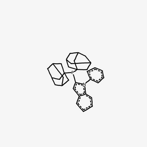 c1ccc(-n2c(P(C34CC5CC(CC(C5)C3)C4)C34CC5CC(CC(C5)C3)C4)cc3ccccc32)cc1